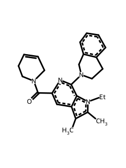 CCn1c(C)c(C)c2cc(C(=O)N3CC=CCC3)nc(N3CCc4ccccc4C3)c21